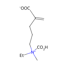 C=C(CCC[N+](C)(CC)C(=O)O)C(=O)[O-]